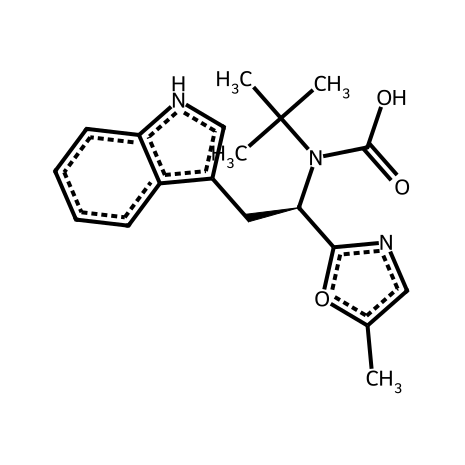 Cc1cnc([C@@H](Cc2c[nH]c3ccccc23)N(C(=O)O)C(C)(C)C)o1